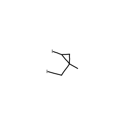 CC1(CI)CC1I